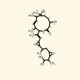 CCC(O)C(C)C1OC1CC(C)C1OC1/C=C(\C)C1OC(=O)CC(O)CCC(C)(O)C(OC(C)=O)/C=C/C1C